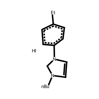 CCCCN1C=CN(c2ccc(CC)cc2)C1.I